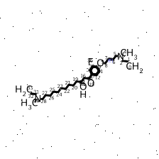 C=CCN(C)C/C=C/COc1ccc(C(=O)C[C@@H](O)CCCCCCCCCCN(C)CC=C)cc1F